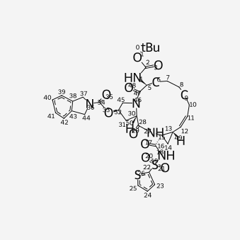 CC(C)(C)OC(=O)N[C@H]1CCCCC/C=C\[C@@H]2C[C@@]2(C(=O)NS(=O)(=O)c2cccs2)NC(=O)[C@@H]2C[C@@H](OC(=O)N3Cc4ccccc4C3)CN2C1=O